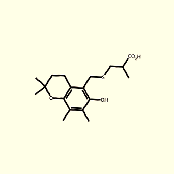 Cc1c(C)c2c(c(CSCC(C)C(=O)O)c1O)CCC(C)(C)O2